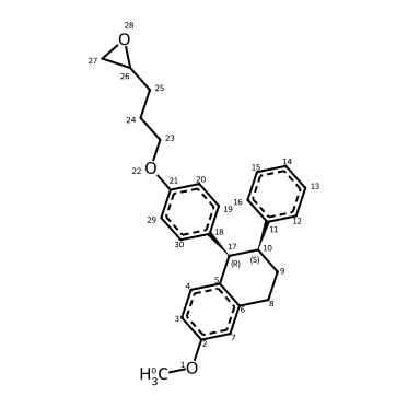 COc1ccc2c(c1)CC[C@H](c1ccccc1)[C@@H]2c1ccc(OCCCC2CO2)cc1